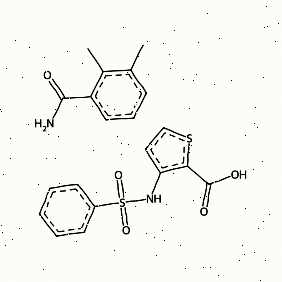 Cc1cccc(C(N)=O)c1C.O=C(O)c1sccc1NS(=O)(=O)c1ccccc1